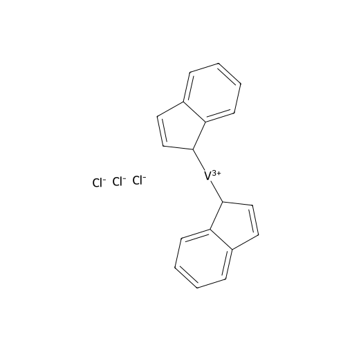 C1=C[CH]([V+3][CH]2C=Cc3ccccc32)c2ccccc21.[Cl-].[Cl-].[Cl-]